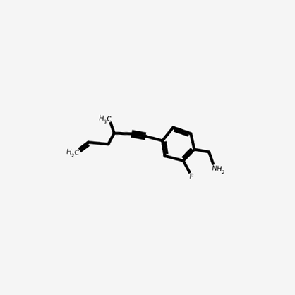 C=CCC(C)C#Cc1ccc(CN)c(F)c1